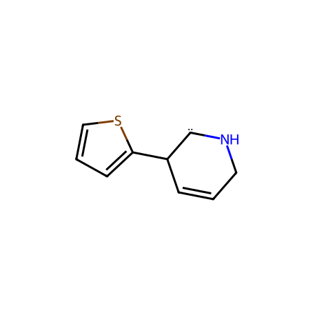 [C]1NCC=CC1c1cccs1